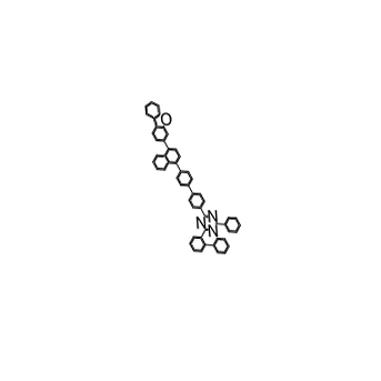 c1ccc(-c2nc(-c3ccc(-c4ccc(-c5ccc(-c6ccc7c(c6)oc6ccccc67)c6ccccc56)cc4)cc3)nc(-c3ccccc3-c3ccccc3)n2)cc1